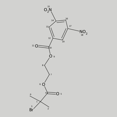 CC(C)(Br)C(=O)OCCOC(=O)c1cc([N+](=O)[O-])cc([N+](=O)[O-])c1